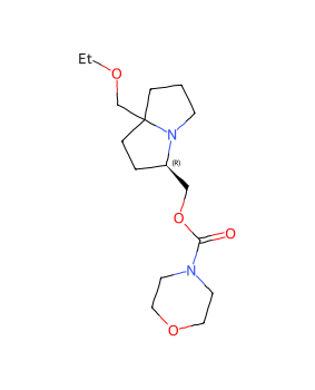 CCOCC12CCCN1[C@@H](COC(=O)N1CCOCC1)CC2